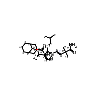 CC(C)COc1c(C(=O)NC2C3CCCC2CC(C(=O)O)C3)cnn1/C=C/C(C)(C)C(N)=O